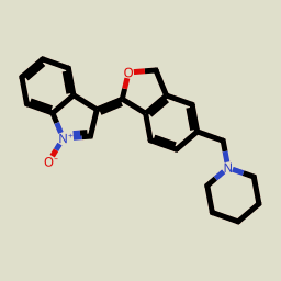 [O-][N+]1=CC(=C2OCc3cc(CN4CCCCC4)ccc32)c2ccccc21